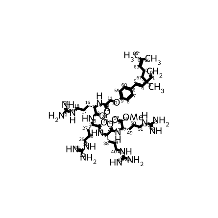 C=C[C@](C)(/C=C/c1ccc(OCC(=O)N[C@@H](CCCNC(=N)N)C(=O)N[C@@H](CCCNC(=N)N)C(=O)N[C@@H](CCCNC(=N)N)C(=O)N[C@@H](CCCNC(=N)N)C(=O)OC)cc1)CCC=C(C)C